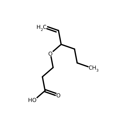 C=CC(CCC)OCCC(=O)O